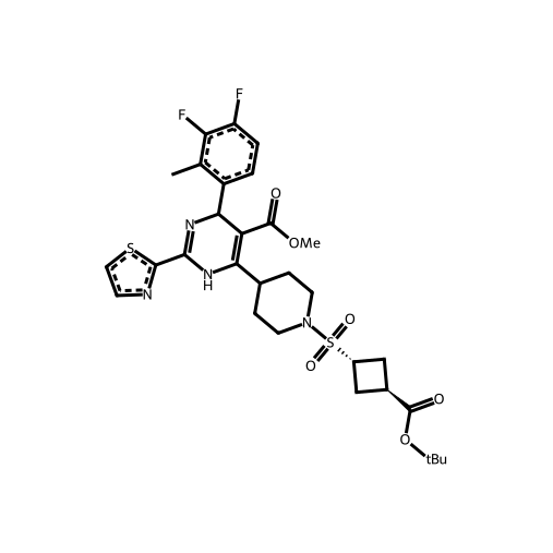 COC(=O)C1=C(C2CCN(S(=O)(=O)[C@H]3C[C@H](C(=O)OC(C)(C)C)C3)CC2)NC(c2nccs2)=NC1c1ccc(F)c(F)c1C